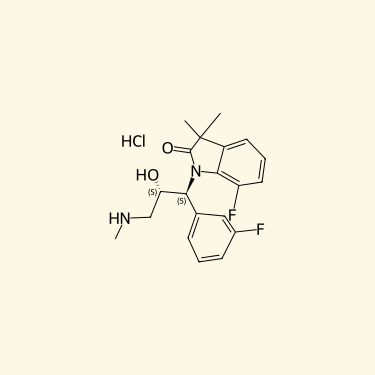 CNC[C@H](O)[C@H](c1cccc(F)c1)N1C(=O)C(C)(C)c2cccc(F)c21.Cl